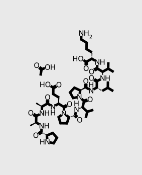 CC(=O)O.CC(C)C[C@H](NC(=O)[C@@H]1CCCN1C(=O)[C@@H](NC(=O)[C@@H]1CCCN1C(=O)[C@H](CCC(=O)O)NC(=O)[C@H](C)NC(=O)[C@H](C)NC(=O)[C@@H]1CCCN1)C(C)C)C(=O)N[C@H](C(=O)N[C@@H](CCCCN)C(=O)O)C(C)C